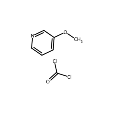 COc1cccnc1.O=C(Cl)Cl